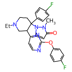 CCN1CCC(c2ccc(F)cc2)(n2ccc(=O)n2C)C(c2ccnc(Oc3ccc(F)cc3)n2)C1